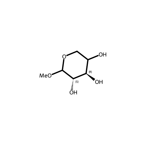 COC1OCC(O)[C@@H](O)[C@@H]1O